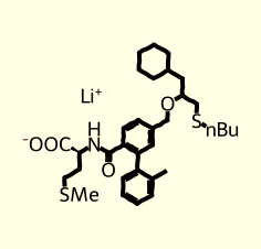 CCCCSCC(CC1CCCCC1)OCc1ccc(C(=O)N[C@@H](CCSC)C(=O)[O-])c(-c2ccccc2C)c1.[Li+]